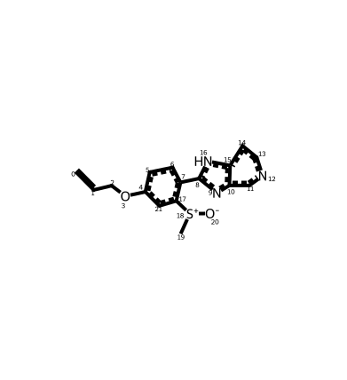 C=CCOc1ccc(-c2nc3cnccc3[nH]2)c([S+](C)[O-])c1